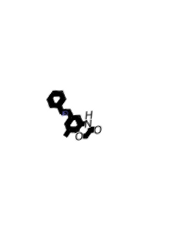 Cc1cc(/C=C/c2ccccc2)cc2c1OCC(=O)N2